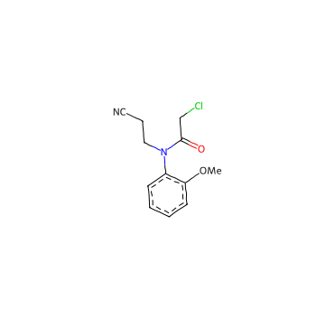 COc1ccccc1N(CCC#N)C(=O)CCl